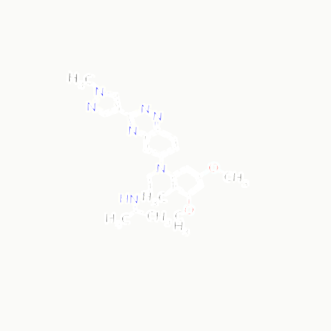 COc1cc(OC)c(C)c(N(CCNC(C)C)c2ccc3nnc(-c4cnn(C)c4)nc3c2)c1